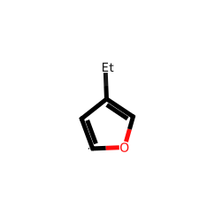 CCc1c[c]oc1